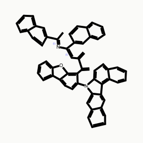 C=C(/C=C(/N=C(\C)c1ccc2ccccc2c1)c1ccc2ccccc2c1)C(=C)c1c(-n2c3cc4ccccc4cc3c3c4ccccc4ccc32)ccc2c1oc1ccccc12